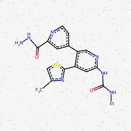 CCNC(=O)Nc1cc(-c2nc(C(F)(F)F)cs2)c(-c2ccnc(C(=O)NN)c2)cn1